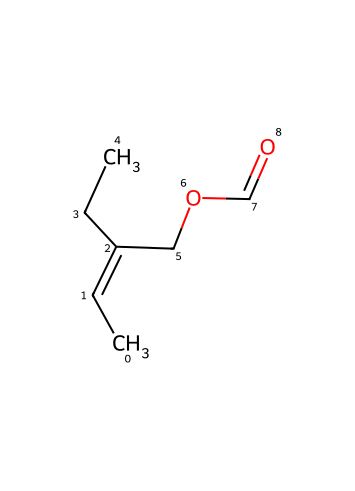 CC=C(CC)COC=O